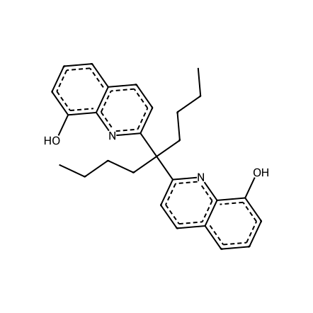 CCCCC(CCCC)(c1ccc2cccc(O)c2n1)c1ccc2cccc(O)c2n1